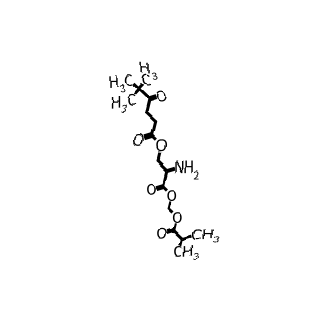 CC(C)C(=O)OCOC(=O)C(N)COC(=O)CCC(=O)C(C)(C)C